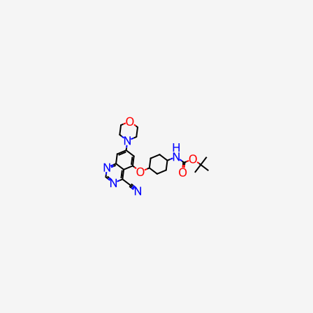 CC(C)(C)OC(=O)NC1CCC(Oc2cc(N3CCOCC3)cc3ncnc(C#N)c23)CC1